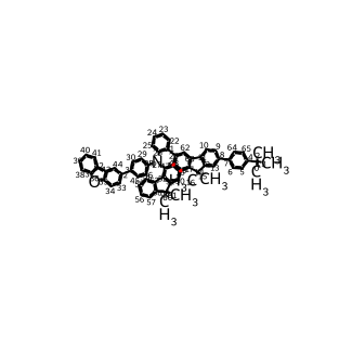 CC(C)(C)c1ccc(-c2ccc3c(c2)C(C)(C)c2ccc(-c4ccccc4N(c4ccc(-c5ccc6oc7ccccc7c6c5)cc4)c4cccc5c4-c4ccccc4C5(C)C)cc2-3)cc1